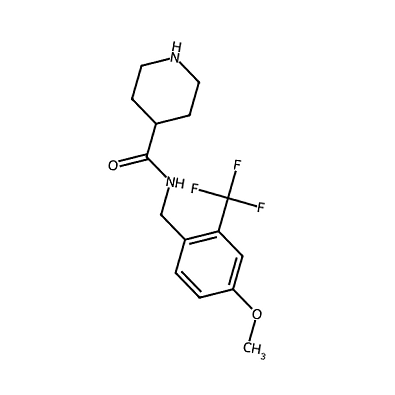 COc1ccc(CNC(=O)C2CCNCC2)c(C(F)(F)F)c1